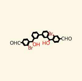 O=Cc1ccc(C(O)c2cccc(-c3cccc(C(O)c4ccc(C=O)cc4Br)c3)c2)c(Br)c1